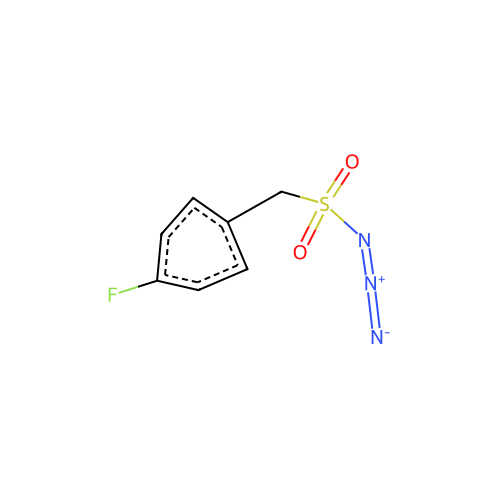 [N-]=[N+]=NS(=O)(=O)Cc1ccc(F)cc1